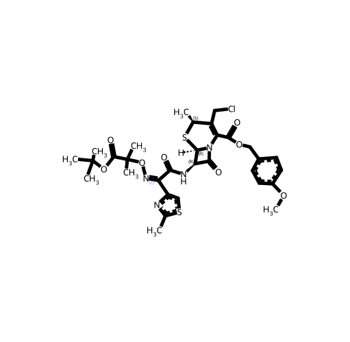 COc1ccc(COC(=O)C2=C(CCl)[C@H](C)S[C@@H]3[C@H](NC(=O)/C(=N\OC(C)(C)C(=O)OC(C)(C)C)c4csc(C)n4)C(=O)N23)cc1